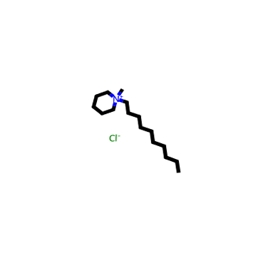 CCCCCCCCCC[N+]1(C)CCCCC1.[Cl-]